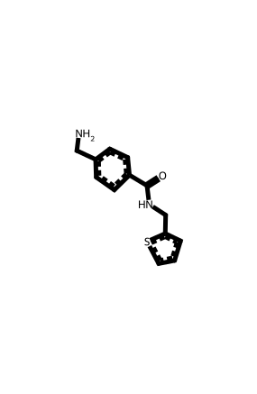 NCc1ccc(C(=O)NCc2cccs2)cc1